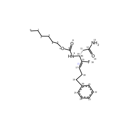 CCCCCCOC(=O)N[C@H](CC(N)=O)/C(F)=C/CCc1ccccc1